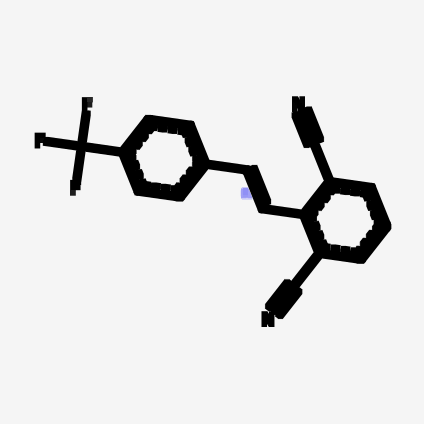 N#Cc1cccc(C#N)c1/C=C/c1ccc(C(F)(F)F)cc1